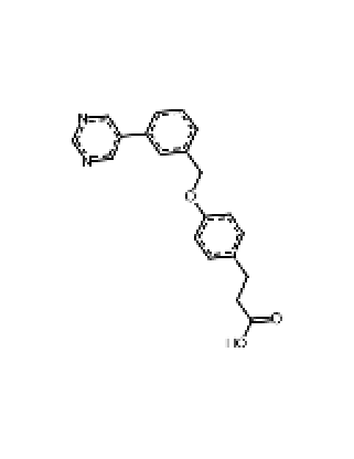 O=C(O)CCc1ccc(OCc2cccc(-c3cncnc3)c2)cc1